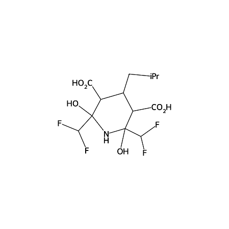 CC(C)CC1C(C(=O)O)C(O)(C(F)F)NC(O)(C(F)F)C1C(=O)O